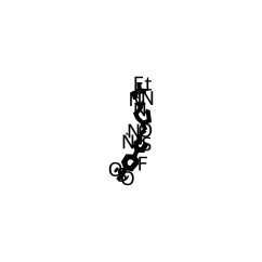 CCc1cnc(N2CCC(Oc3ncnc4c(-c5ccc(S(C)(=O)=O)cc5F)csc34)CC2)nc1